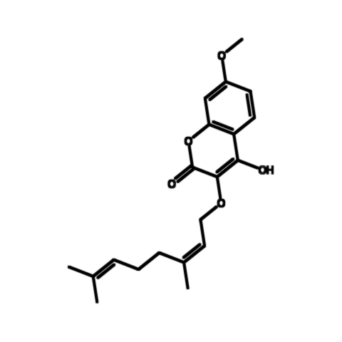 COc1ccc2c(O)c(OCC=C(C)CCC=C(C)C)c(=O)oc2c1